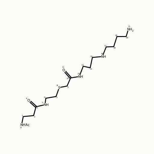 CC(=O)NCCC(=O)NCCSCC(=O)NCCCNCCCCN